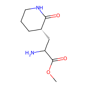 COC(=O)C(N)C[C@@H]1CCCNC1=O